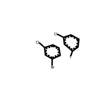 Clc1cccc(Br)c1.Clc1cccc(I)c1